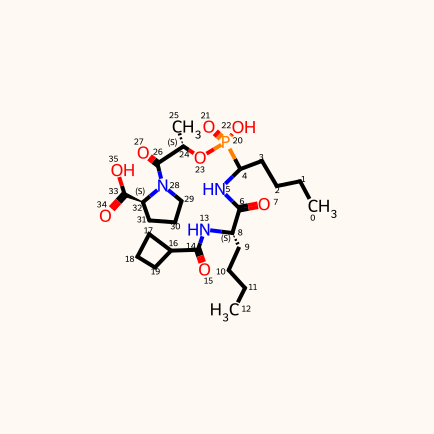 CCCCC(NC(=O)[C@H](CCCC)NC(=O)C1CCC1)P(=O)(O)O[C@@H](C)C(=O)N1CCC[C@H]1C(=O)O